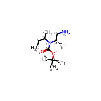 CCC(C)N(C(=O)OC(C)(C)C)[C@@H](C)CN